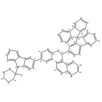 CC1(n2c3ccccc3c3cc(-c4ccc(CC(c5ccc6c(c5)C5(c7ccccc7-c7ccccc75)c5ccccc5-6)c5cccc6ccccc56)cc4)ccc32)CCCCC1